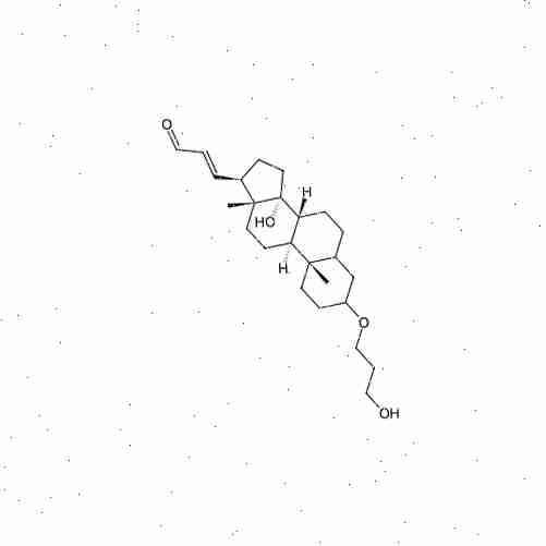 C[C@]12CCC(OCCCO)CC1CC[C@@H]1[C@@H]2CC[C@]2(C)[C@@H](/C=C/C=O)CC[C@@]12O